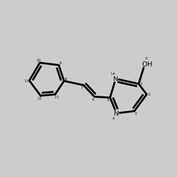 Oc1ccnc(C=Cc2ccccc2)n1